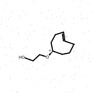 OCCO[C@H]1CC/C=C/CCC1